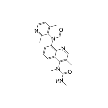 CNC(=O)N(C)c1c(C)cnc2c(N(C=O)c3c(C)ccnc3C)cccc12